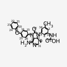 Cc1cc(NC(=O)O)cc(-n2c(=O)n(-c3ccc(Oc4ccccc4)cc3)c3c(N)ncnc32)c1